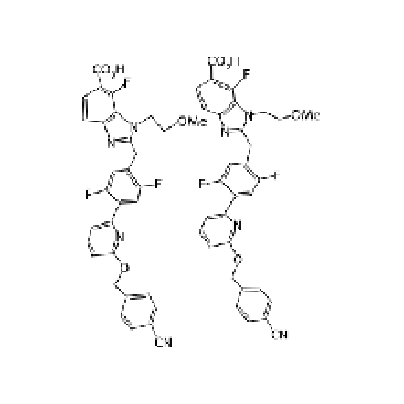 COCCn1c(Cc2cc(F)c(-c3cccc(OCc4ccc(C#N)cc4)n3)cc2F)nc2ccc(C(=O)O)c(F)c21.COCCn1c(Cc2cc(F)c(-c3cccc(OCc4ccc(C#N)cc4)n3)cc2F)nc2ccc(C(=O)O)c(F)c21